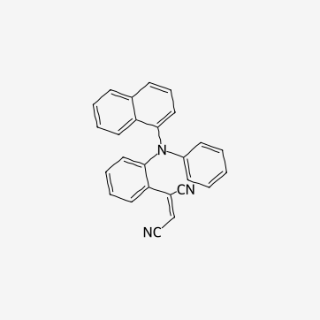 N#C/C=C(/C#N)c1ccccc1N(c1ccccc1)c1cccc2ccccc12